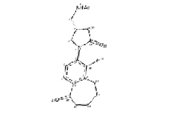 CC(=O)NC[C@H]1CN(c2ccc3c(c2F)CCCCC3=O)C(=O)O1